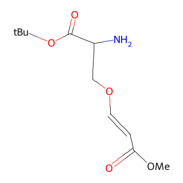 COC(=O)C=COCC(N)C(=O)OC(C)(C)C